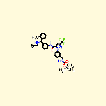 Cc1ccccc1C(NCC1CC1)c1cccc(NC(=O)c2cc(C(F)(F)F)nn2-c2cccc(CNC(=O)OC(C)(C)C)c2)c1